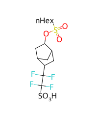 CCCCCCS(=O)(=O)OC1CC2CC1CC2C(F)(F)C(F)(F)S(=O)(=O)O